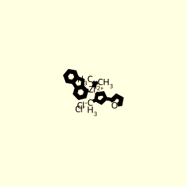 C[C](C)=[Zr+2]([C]1=CC(c2ccco2)=CC1C)[c]1cccc2c1Cc1ccccc1-2.[Cl-].[Cl-]